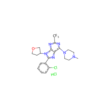 CN1CCN(c2nc(C(F)(F)F)nc3c2nc(-c2ccccc2Cl)n3C2CCOC2)CC1.Cl